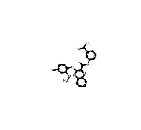 COc1cc(F)ccc1Oc1nc2ccccc2nc1C(=O)Nc1cccc(C(C)=O)c1